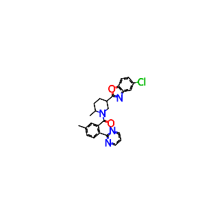 Cc1ccc(-c2ncccn2)c(C(=O)N2CC(c3nc4cc(Cl)ccc4o3)CCC2C)c1